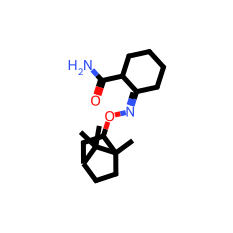 CC1(C)C2CCC1(C)C(ON=C1CCCCC1C(N)=O)C2